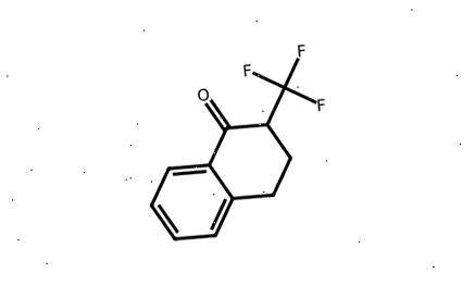 O=C1c2ccccc2CCC1C(F)(F)F